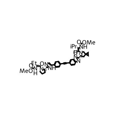 CC[C@H](NC(=O)OC)C(=O)N1CCC[C@H]1c1ncc(-c2ccc(C#Cc3ccc4nc([C@@H]5CC6(CC6)CN5C(=O)[C@@H](NC(=O)OC)C(C)C)[nH]c4c3)cc2)[nH]1